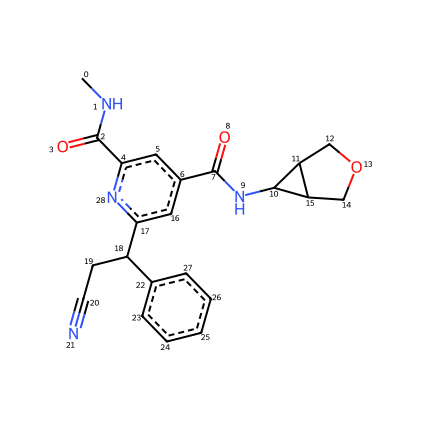 CNC(=O)c1cc(C(=O)NC2C3COCC32)cc(C(CC#N)c2ccccc2)n1